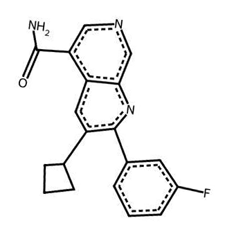 NC(=O)c1cncc2nc(-c3cccc(F)c3)c(C3CCC3)cc12